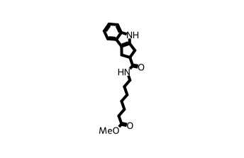 COC(=O)CCCCCCNC(=O)C1Cc2[nH]c3ccccc3c2C1